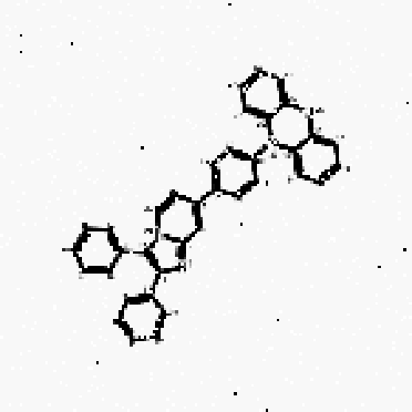 c1ccc(-c2nc3cc(-c4ccc(N5c6ccccc6Oc6ccccc65)cc4)ccn3c2-c2ccccc2)cc1